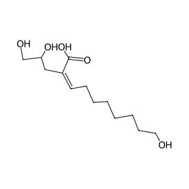 O=C(O)C(=CCCCCCCCO)CC(O)CO